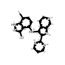 Clc1n[nH]c2c(I)ccc(Nc3c(-c4ncccn4)oc4cnccc34)c12